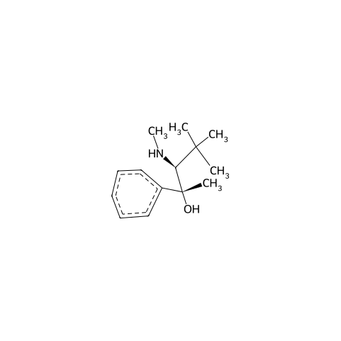 CN[C@@H](C(C)(C)C)[C@](C)(O)c1ccccc1